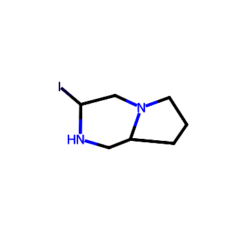 IC1CN2CCCC2CN1